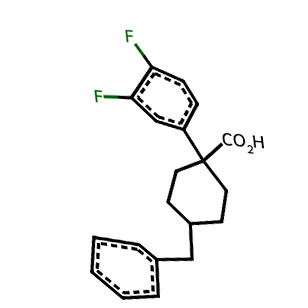 O=C(O)C1(c2ccc(F)c(F)c2)CCC(Cc2ccccc2)CC1